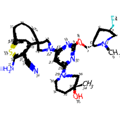 CN1C[C@H](F)C[C@H]1COc1nc(N2CC3(CCCc4sc(N)c(C#N)c43)C2)cc(N2CCC[C@@](C)(O)C2)n1